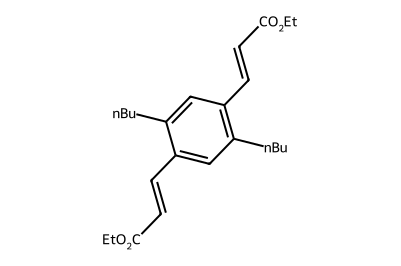 CCCCc1cc(/C=C/C(=O)OCC)c(CCCC)cc1/C=C/C(=O)OCC